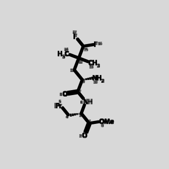 COC(=O)[C@H](CC(C)C)NC(=O)[C@@H](N)CC(C)(C)C(F)F